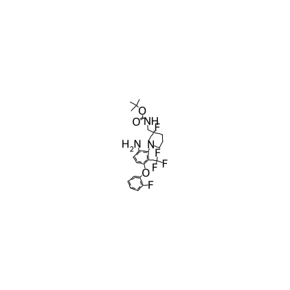 CC(C)(C)OC(=O)NC[C@]1(F)CCCN(c2c(N)ccc(Oc3ccccc3F)c2C(F)(F)F)C1